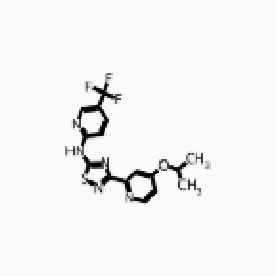 CC(C)Oc1ccnc(-c2nsc(Nc3[c]cc(C(F)(F)F)cn3)n2)c1